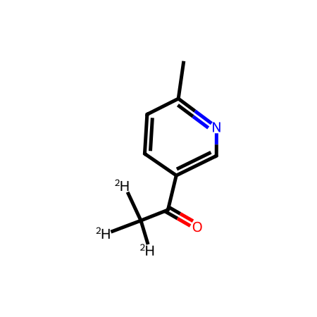 [2H]C([2H])([2H])C(=O)c1ccc(C)nc1